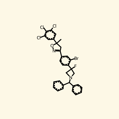 CC1(c2cc(Cl)c(Cl)c(Cl)c2)CC(c2ccc(C3(F)CN(C(c4ccccc4)c4ccccc4)C3)c(Br)c2)=NO1